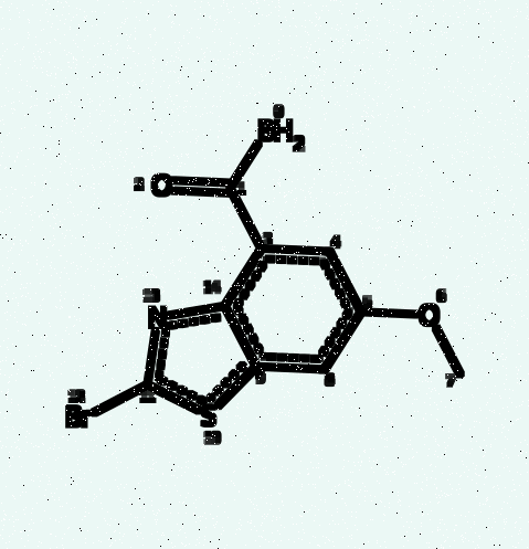 BC(=O)c1cc(OC)cc2sc(Br)nc12